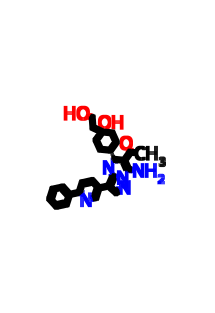 CC(=O)c1c(N)n2ncc(-c3ccc(-c4ccccc4)nc3)c2nc1[C@H]1CC[C@](O)(CCO)CC1